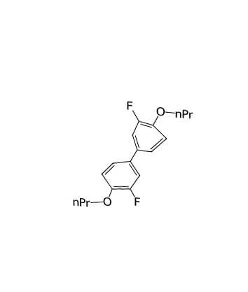 CCCOc1ccc(-c2ccc(OCCC)c(F)c2)cc1F